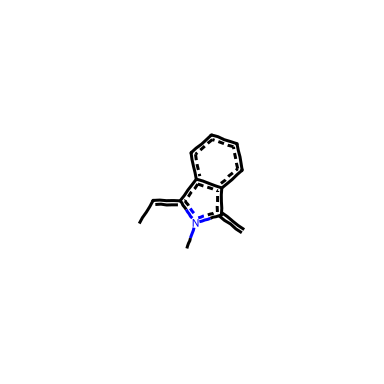 C=c1c2ccccc2/c(=C/C)n1C